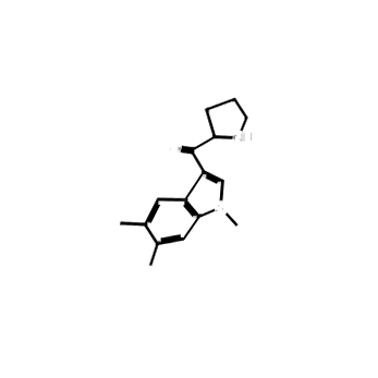 Cc1cc2c(C(=O)C3CCCN3)cn(C)c2cc1C